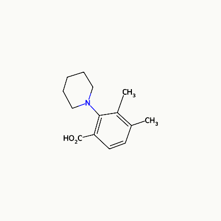 Cc1ccc(C(=O)O)c(N2CCCCC2)c1C